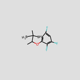 BC(B)(C)C(C)Oc1cc(F)cc(F)c1F